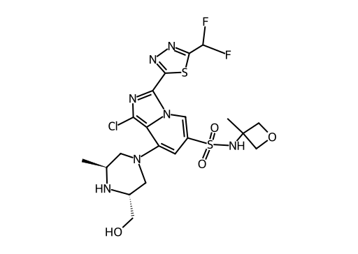 C[C@H]1CN(c2cc(S(=O)(=O)NC3(C)COC3)cn3c(-c4nnc(C(F)F)s4)nc(Cl)c23)C[C@H](CO)N1